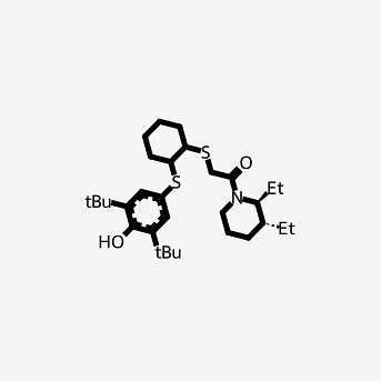 CC[C@@H]1CCCN(C(=O)CSC2CCCCC2Sc2cc(C(C)(C)C)c(O)c(C(C)(C)C)c2)[C@H]1CC